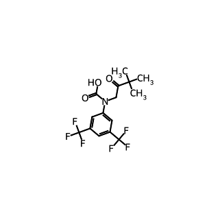 CC(C)(C)C(=O)CN(C(=O)O)c1cc(C(F)(F)F)cc(C(F)(F)F)c1